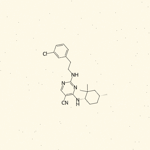 C[C@@H]1CC[C@H](Nc2nc(NCCc3cccc(Cl)c3)ncc2C#N)C(C)(C)C1